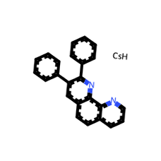 [CsH].c1ccc(-c2cc3ccc4cccnc4c3nc2-c2ccccc2)cc1